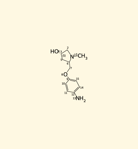 CN1C[C@@H](O)CC1COc1ccc(N)cc1